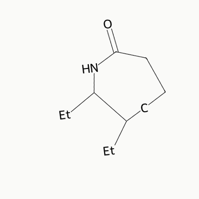 CCC1CCCC(=O)NC1CC